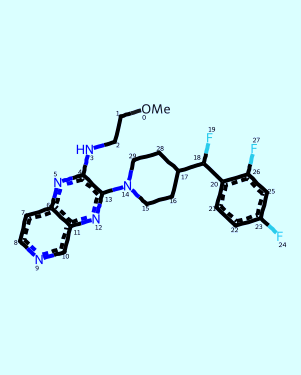 COCCNc1nc2ccncc2nc1N1CCC(C(F)c2ccc(F)cc2F)CC1